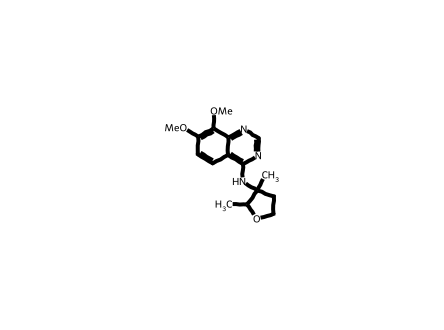 COc1ccc2c(NC3(C)CCOC3C)ncnc2c1OC